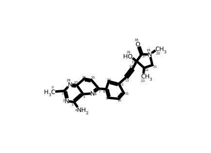 Cc1nc(N)c2nc(-c3cccc(C#CC4(O)C(=O)N(C)CC4C)c3)ccc2n1